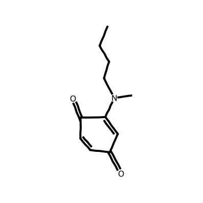 CCCCN(C)C1=CC(=O)C=CC1=O